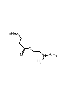 CCCCCCCCC(=O)OCCN(C)C